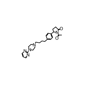 CC(=O)N1C(=O)CCC1c1ccc(CCCCN2CCN(c3ncccn3)CC2)cc1